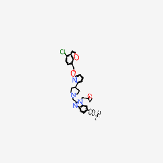 O=C(O)c1ccc2nc(CN3CCC(c4cccc(OCc5ccc(Cl)c6ccoc56)n4)CC3)n(CC3CCO3)c2c1